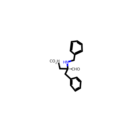 O=C[C@@](CC(=O)O)(Cc1ccccc1)NCc1ccccc1